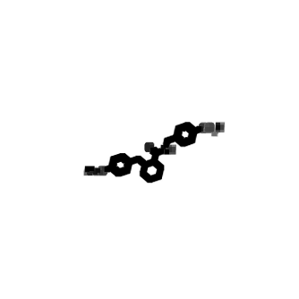 COc1ccc(CC2CCCCC2C(=O)NCc2ccc(C(=O)O)cc2)cc1